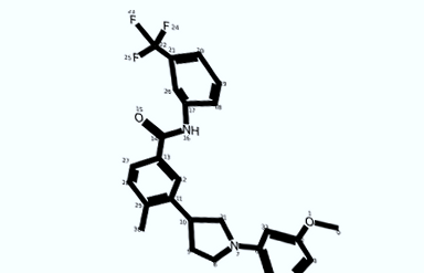 COc1cncc(N2CCC(c3cc(C(=O)Nc4cccc(C(F)(F)F)c4)ccc3C)C2)c1